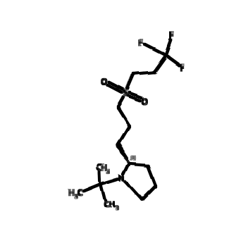 CC(C)(C)N1CCC[C@@H]1CCCS(=O)(=O)CCC(F)(F)F